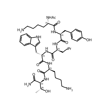 CC(=O)N[C@@H](CCCCN)C(=O)N[C@@H](Cc1ccc(O)cc1)C(=O)N[C@@H](CC(C)C)C(=O)N[C@@H](Cc1c[nH]c2ccccc12)C(=O)N[C@@H](CCCCN)C(=O)N[C@H](C(N)=O)[C@@H](C)O